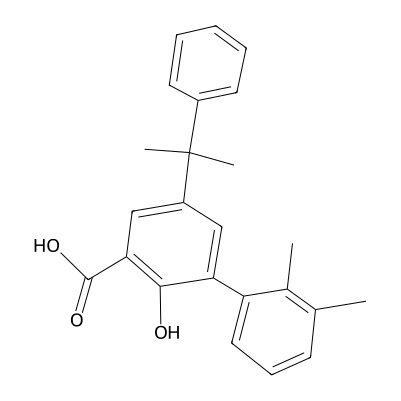 Cc1cccc(-c2cc(C(C)(C)c3ccccc3)cc(C(=O)O)c2O)c1C